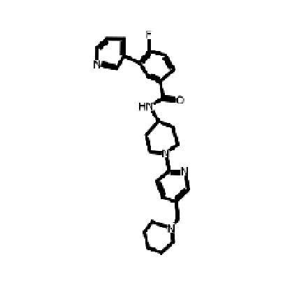 O=C(NC1CCN(c2ccc(CN3CCCCC3)cn2)CC1)c1ccc(F)c(-c2cccnc2)c1